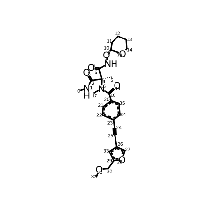 CNC(=O)[C@@](C)(C(=O)NOC1CCCCO1)N(C)C(=O)c1ccc(C#Cc2coc(COC)c2)cc1